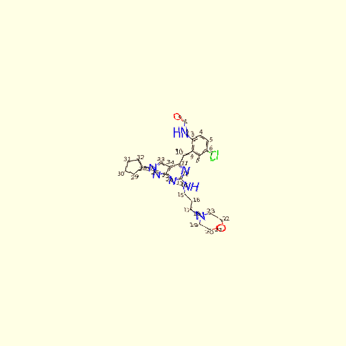 O=CNc1ccc(Cl)cc1Cc1nc(NCCCN2CCOCC2)nc2nn(C3CCCC3)cc12